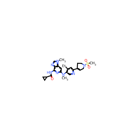 CCc1cc(C2=CCN(S(C)(=O)=O)CC2)ncc1N(C)c1cc2c(ncn2C)c(NC(=O)C2CC2)n1